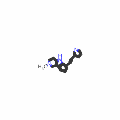 CN1CCc2[nH]c3c(C#Cc4cccnc4)cccc3c2C1